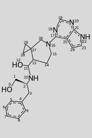 OC[C@H](Cc1ccccc1)NC(O)C1CCN(c2ncnc3[nH]ccc23)CC12CC2